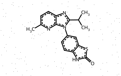 Cc1ccc2nc(C(C)C)n(-c3ccc4[nH]c(=O)sc4c3)c2n1